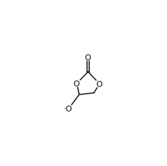 [O]C1COC(=O)O1